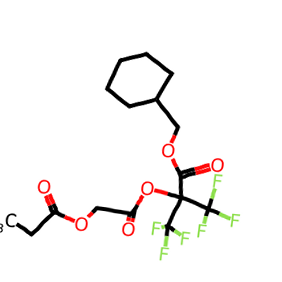 CCC(=O)OCC(=O)OC(C(=O)OCC1CCCCC1)(C(F)(F)F)C(F)(F)F